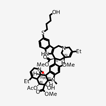 CCC1=C[C@H]2CN(C1)Cc1c([nH]c3ccc(SCCCCO)cc13)[C@@](C(=O)OC)(c1cc3c(cc1OC)N(C)[C@H]1[C@@](O)(C(=O)OC)[C@H](OC(C)=O)C4C(CC)=CCN5CC[C@]31[C@H]45)C2